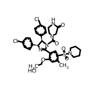 CCOc1cc(C)c(S(=O)(=O)N2CCCCC2)cc1C1=N[C@@H](c2ccc(Cl)cc2)[C@@H](c2ccc(Cl)cc2)N1C(=O)N1CCNC(=O)C1.Cl